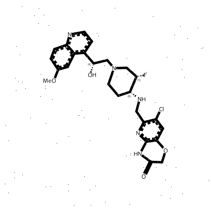 COc1ccc2nccc([C@@H](O)CN3CC[C@@H](NCc4nc5c(cc4Cl)OCC(=O)N5)[C@@H](F)C3)c2c1